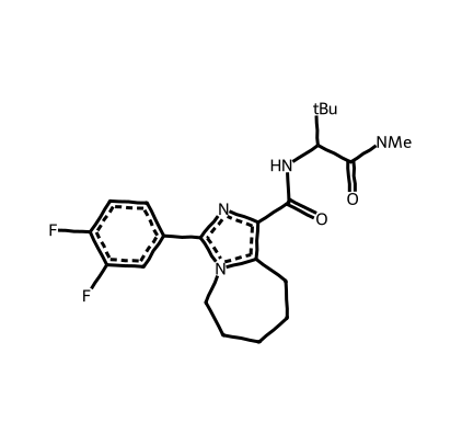 CNC(=O)C(NC(=O)c1nc(-c2ccc(F)c(F)c2)n2c1CCCCC2)C(C)(C)C